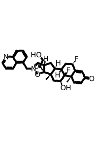 C[C@]12C=CC(=O)C=C1[C@@H](F)C[C@H]1[C@@H]3C[C@H]4CN(Cc5cccc6ncccc56)O[C@@]4(C(=O)CO)[C@@]3(C)C[C@H](O)C12F